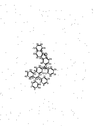 c1ccc(-c2c(-c3ccccc3)c3cc(N(c4ccccc4)c4ccc5oc6c7ccccc7ccc6c5c4)ccc3c3ccccc23)cc1